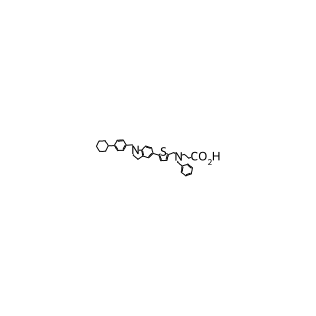 O=C(O)CCN(Cc1ccccc1)Cc1ccc(-c2ccc3c(c2)CCN3Cc2ccc(C3CCCCC3)cc2)s1